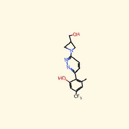 Cc1cc(C(F)(F)F)cc(O)c1-c1ccc(N2CC(CO)C2)nn1